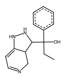 CCC(O)(c1ccccc1)C1NNC2=CC=NCC21